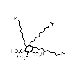 CC(C)CCCCCCCCc1c(CCCCCCCCC(C)C)c(C(=O)O)c(C(=O)O)c(C(=O)O)c1CCCCCCCCC(C)C